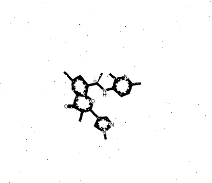 Cc1cc([C@@H](C)Nc2ccc(C)nc2C)c2oc(-c3cnn(C)c3)c(C)c(=O)c2c1